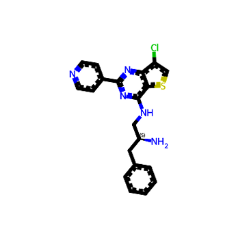 N[C@H](CNc1nc(-c2ccncc2)nc2c(Cl)csc12)Cc1ccccc1